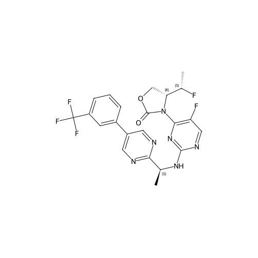 C[C@H](Nc1ncc(F)c(N2C(=O)OC[C@@H]2[C@H](C)F)n1)c1ncc(-c2cccc(C(F)(F)F)c2)cn1